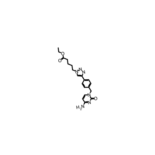 CCOC(=O)CCCCn1cc(-c2ccc(Cn3ccc(N)nc3=O)cc2)nn1